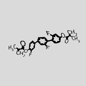 C=C(C)C(=O)Oc1ccc(-c2ccc(-c3ccc(OC(=O)C(=C)C)c(F)c3)cc2F)c(F)c1